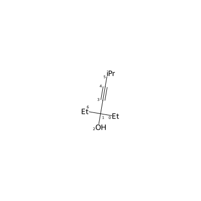 CCC(O)(C#CC(C)C)CC